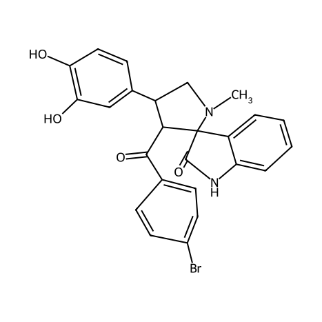 CN1CC(c2ccc(O)c(O)c2)C(C(=O)c2ccc(Br)cc2)C12C(=O)Nc1ccccc12